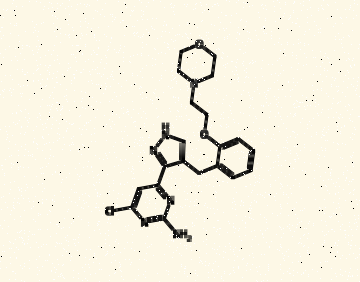 Nc1nc(Cl)cc(-c2n[nH]cc2Cc2ccccc2OCCN2CCOCC2)n1